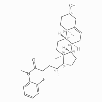 C[C@H](CCC(=O)N(C)c1ccccc1F)[C@H]1CC[C@H]2[C@@H]3CC=C4C[C@@H](O)CC[C@]4(C)[C@H]3CC[C@]12C